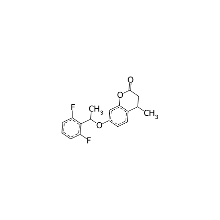 CC1CC(=O)Oc2cc(OC(C)c3c(F)cccc3F)ccc21